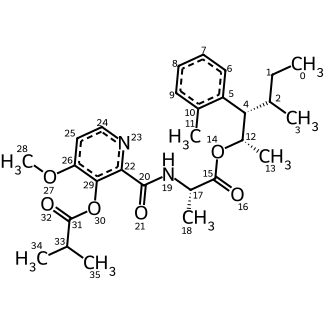 CCC(C)[C@@H](c1ccccc1C)[C@H](C)OC(=O)[C@H](C)NC(=O)c1nccc(OC)c1OC(=O)C(C)C